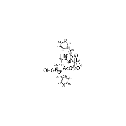 CC(=O)O[C@@H]1OCC[C@@H]1NC(=O)[C@H](Cc1ccccc1)NC(=O)CCCN(C=O)OCc1ccccc1